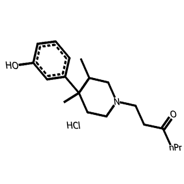 CCCC(=O)CCN1CCC(C)(c2cccc(O)c2)C(C)C1.Cl